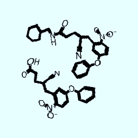 N#CC(CCC(=O)NCC1CCCCC1)Cc1cc(Oc2ccccc2)ccc1[N+](=O)[O-].N#CC(CCC(=O)O)Cc1cc(Oc2ccccc2)ccc1[N+](=O)[O-]